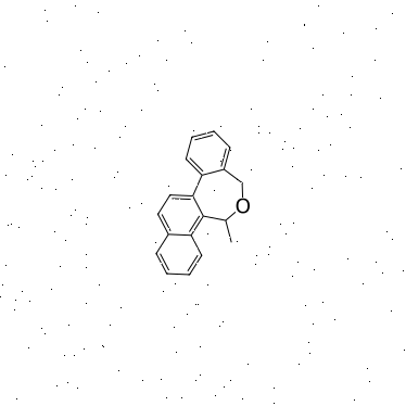 CC1OCc2ccccc2-c2ccc3ccccc3c21